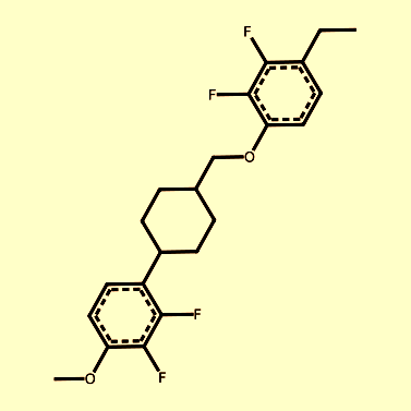 CCc1ccc(OCC2CCC(c3ccc(OC)c(F)c3F)CC2)c(F)c1F